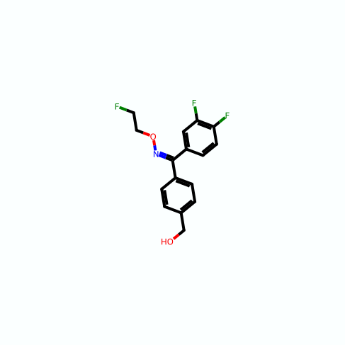 OCc1ccc(/C(=N/OCCF)c2ccc(F)c(F)c2)cc1